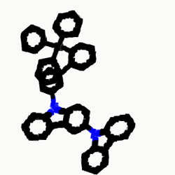 c1ccc([Si](c2ccccc2)(c2ccccc2)c2ccccc2-c2cccc(-n3c4ccccc4c4cc(-n5c6ccccc6c6ccccc65)ccc43)c2)cc1